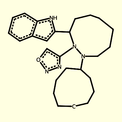 c1ccc2[nH]c(C3CCCCCCN(C4CCCCCCCC4)N3c3conn3)cc2c1